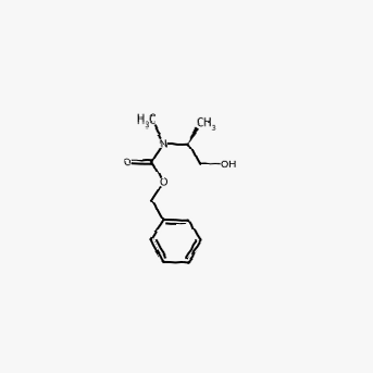 C[C@@H](CO)N(C)C(=O)OCc1ccccc1